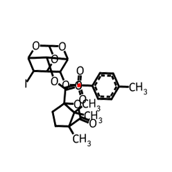 Cc1ccc(S(=O)(=O)OC2C3OC4OC(C3I)C(OC(=O)C35CCC(C)(C(=O)O3)C5(C)C)C2O4)cc1